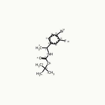 CC(NC(=O)OC(C)(C)C)c1ccc(Br)c(F)c1